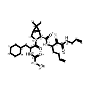 C=CCCC(NC(=O)[C@@H]1C2C(CN1C(=O)C(CC1CCCCC1)NC(=O)OC(C)(C)C)C2(C)C)C(=O)C(=O)NCC=C